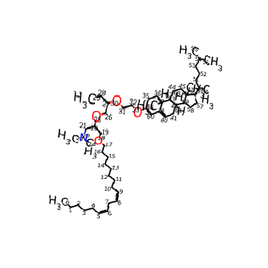 CCCCC/C=C\C/C=C\CCCCCCCCOCC(CN(C)C)OC[C@@H](CC)OCCO[C@H]1CCC2(C)C(=CC[C@@H]3[C@@H]2CCC2(C)[C@@H]([C@H](C)CCCC(C)C)CC[C@@H]32)C1